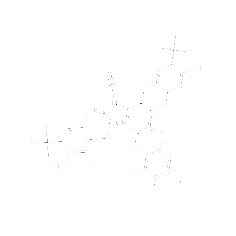 Cc1cc(C(C)(C)C)c(O)c(C)c1Cn1c(=O)c2c(n(Cc3c(C)cc(C(C)(C)C)c(O)c3C)c1=O)n(Cc1c(C)cc(C(C)(C)C)c(O)c1C)c(=O)n2C#N